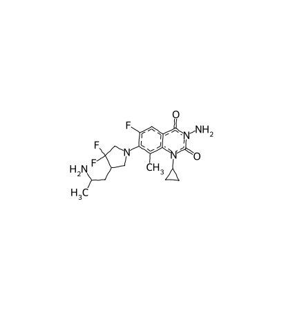 Cc1c(N2CC(CC(C)N)C(F)(F)C2)c(F)cc2c(=O)n(N)c(=O)n(C3CC3)c12